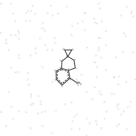 Nc1cccc2c1CCC1(CC1)C2